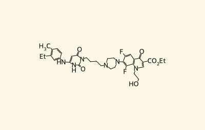 CCOC(=O)c1cn(CCO)c2c(F)c(N3CCN(CCCCn4c(=O)cc(Nc5ccc(C)c(CC)c5)[nH]c4=O)CC3)c(F)cc2c1=O